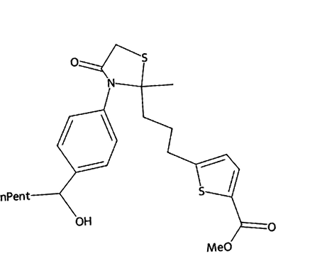 CCCCCC(O)c1ccc(N2C(=O)CSC2(C)CCCc2ccc(C(=O)OC)s2)cc1